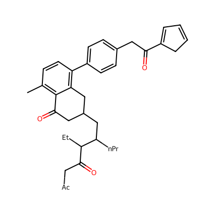 CCCC(CC1CC(=O)c2c(C)ccc(-c3ccc(CC(=O)C4=CC=CC4)cc3)c2C1)C(CC)C(=O)CC(C)=O